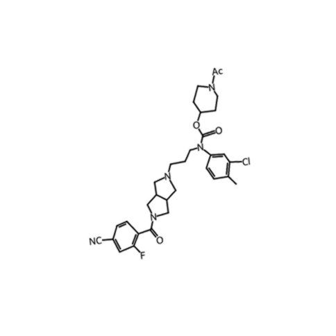 CC(=O)N1CCC(OC(=O)N(CCCN2CC3CN(C(=O)c4ccc(C#N)cc4F)CC3C2)c2ccc(C)c(Cl)c2)CC1